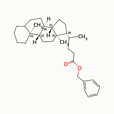 CC(CCC(=O)OCc1ccccc1)[C@H]1CC[C@H]2[C@@H]3CCC4CCCC[C@]4(C)[C@H]3CC[C@]12C